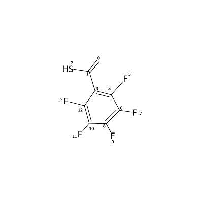 C=C(S)c1c(F)c(F)c(F)c(F)c1F